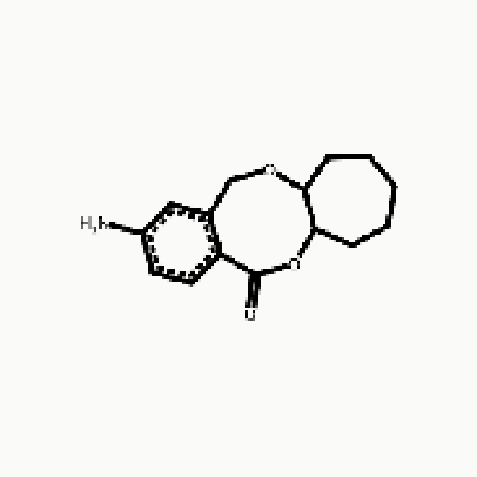 Nc1ccc2c(c1)COC1CCCCCC1OC2=O